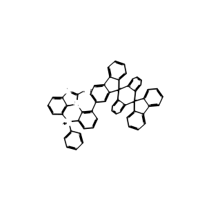 CCc1nc2cccc3c2n1-c1c(-c2ccc4c(c2)C2(c5ccccc5-4)c4ccccc4C4(c5ccccc5-c5ccccc54)c4ccccc42)cccc1P3(=O)c1ccccc1